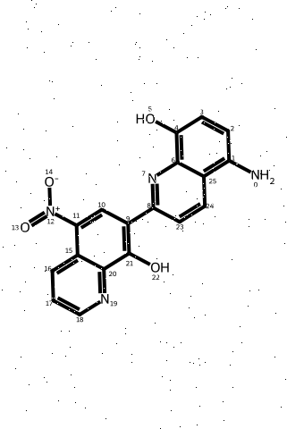 Nc1ccc(O)c2nc(-c3cc([N+](=O)[O-])c4cccnc4c3O)ccc12